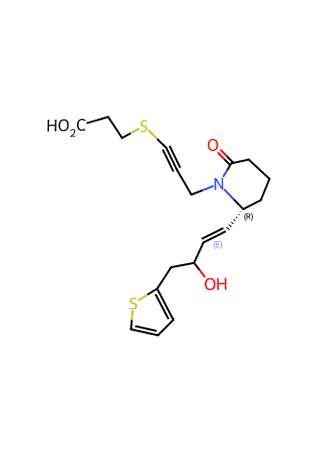 O=C(O)CCSC#CCN1C(=O)CCC[C@@H]1/C=C/C(O)Cc1cccs1